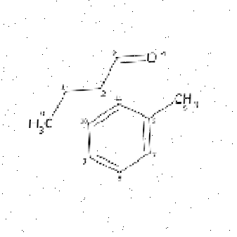 CCCC=O.Cc1ccccc1